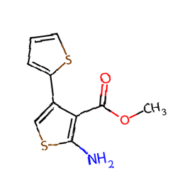 COC(=O)c1c(-c2cccs2)csc1N